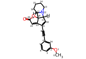 COc1cccc(C#CC2=C[C@H]3N4CCCC[C@@H]4C34OC(=O)C=C24)c1